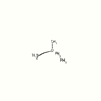 COP.P.P